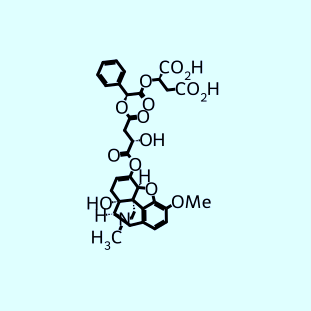 COc1ccc2c3c1O[C@@H]1C(OC(=O)[C@@H](O)CC(=O)O[C@H](C(=O)O[C@H](CC(=O)O)C(=O)O)c4ccccc4)=CC[C@]4(O)[C@H](C2)N(C)CC[C@@]314